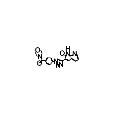 O=C(c1ccc(-n2cc(-c3cc4cccnc4[nH]c3=O)nn2)cc1)N1CCOCC1